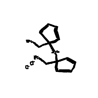 CC(C)C[C]1([Zr+2][C]2(CC(C)C)C=CC=C2)C=CC=C1.[Cl-].[Cl-]